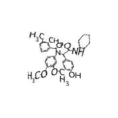 COc1ccc(N(C(=O)c2cccc(C)c2C)C(C(=O)NC2CCCCC2)c2ccc(O)cc2)cc1OC